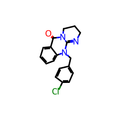 O=C1c2ccccc2N(Cc2ccc(Cl)cc2)C2=NCCCN12